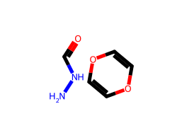 C1=COC=CO1.NNC=O